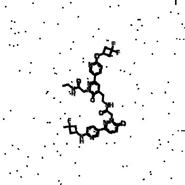 CCNC(=O)Cn1nc(-c2ccc(OC3CC(F)(F)C3)nc2)cc(CCNC(=O)Cn2nc(-c3ccc(NC4CC(C)(F)C4)nc3)ccc2=O)c1=O